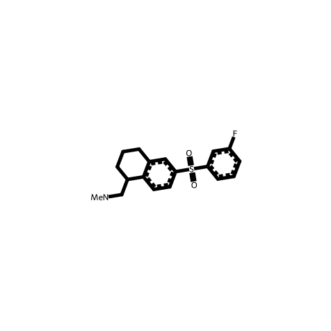 CNCC1CCCc2cc(S(=O)(=O)c3cccc(F)c3)ccc21